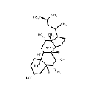 C[C@H]1[C@@H](O)[C@@H]2[C@H](C[C@H](O)[C@]3(C)[C@@H]([C@H](C)C[C@H](C)C(=O)O)CC[C@@H]23)[C@@]2(C)CC[C@@H](O)C[C@@H]12